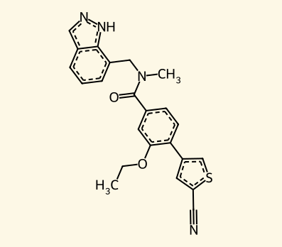 CCOc1cc(C(=O)N(C)Cc2cccc3cn[nH]c23)ccc1-c1csc(C#N)c1